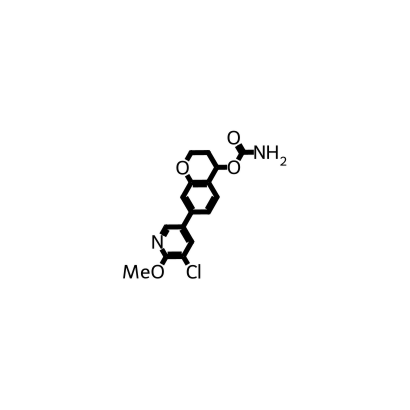 COc1ncc(-c2ccc3c(c2)OCCC3OC(N)=O)cc1Cl